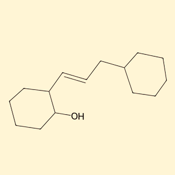 OC1CCCCC1C=CCC1CCCCC1